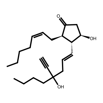 C#CC(O)(C/C=C/[C@H]1[C@H](O)CC(=O)[C@@H]1C/C=C\CCCC)CCCC